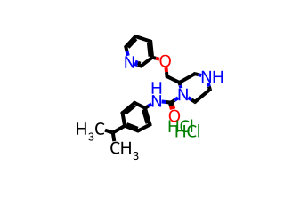 CC(C)c1ccc(NC(=O)N2CCNCC2COc2cccnc2)cc1.Cl.Cl